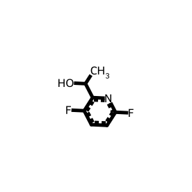 CC(O)c1nc(F)ccc1F